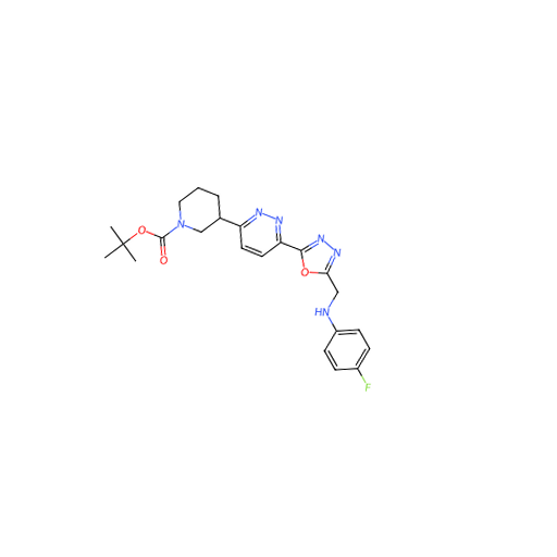 CC(C)(C)OC(=O)N1CCCC(c2ccc(-c3nnc(CNc4ccc(F)cc4)o3)nn2)C1